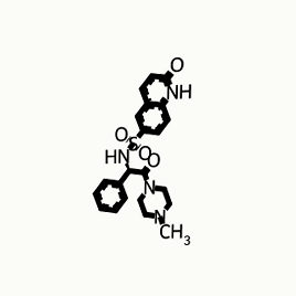 CN1CCN(C(=O)[C@H](NS(=O)(=O)c2ccc3[nH]c(=O)ccc3c2)c2ccccc2)CC1